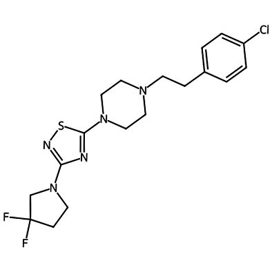 FC1(F)CCN(c2nsc(N3CCN(CCc4ccc(Cl)cc4)CC3)n2)C1